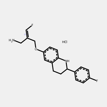 Cl.NC/C(=C/F)COc1ccc2c(c1)CCC(c1ccc(F)cc1)N2